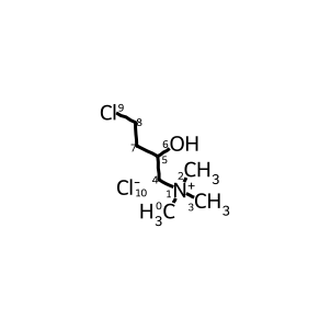 C[N+](C)(C)CC(O)CCCl.[Cl-]